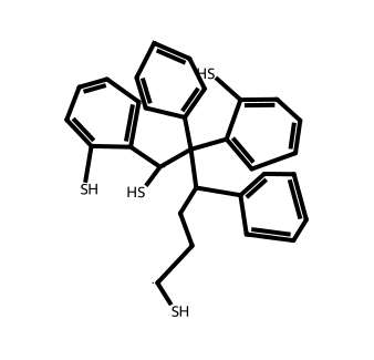 S[CH]CCC(c1ccccc1)C([C](S)c1ccccc1S)(c1ccccc1)c1ccccc1S